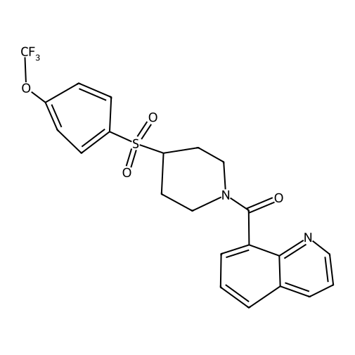 O=C(c1cccc2cccnc12)N1CCC(S(=O)(=O)c2ccc(OC(F)(F)F)cc2)CC1